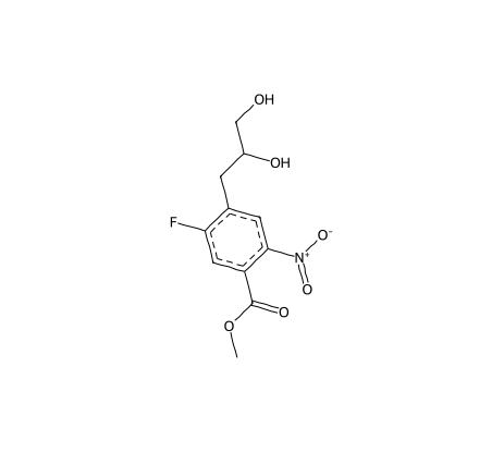 COC(=O)c1cc(F)c(CC(O)CO)cc1[N+](=O)[O-]